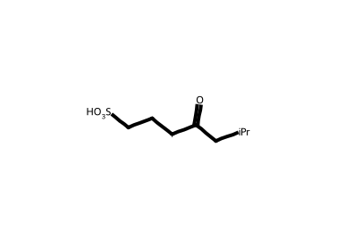 CC(C)CC(=O)[CH]CCS(=O)(=O)O